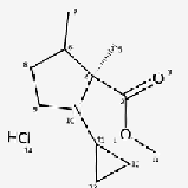 COC(=O)[C@]1(C)C(C)CCN1C1CC1.Cl